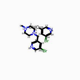 CN1CCN(Cc2cncc(Br)c2)CC1.O=Cc1cncc(Br)c1